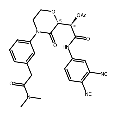 [C-]#[N+]c1ccc(NC(=O)[C@H](OC(C)=O)[C@H]2OCCN(c3cccc(CC(=O)N(C)C)c3)C2=O)cc1[N+]#[C-]